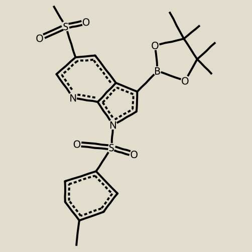 Cc1ccc(S(=O)(=O)n2cc(B3OC(C)(C)C(C)(C)O3)c3cc(S(C)(=O)=O)cnc32)cc1